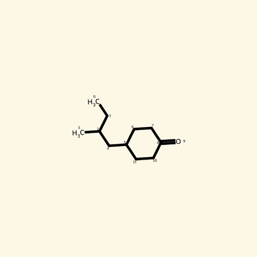 CCC(C)CC1CCC(=O)CC1